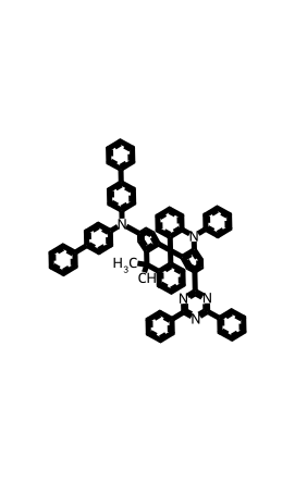 CC1(C)c2ccccc2C2(c3ccccc3N(c3ccccc3)c3ccc(-c4nc(-c5ccccc5)nc(-c5ccccc5)n4)cc32)c2ccc(N(c3ccc(-c4ccccc4)cc3)c3ccc(-c4ccccc4)cc3)cc21